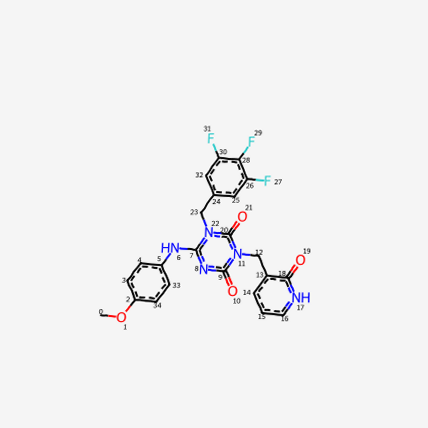 COc1ccc(Nc2nc(=O)n(Cc3ccc[nH]c3=O)c(=O)n2Cc2cc(F)c(F)c(F)c2)cc1